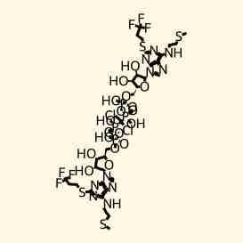 CSCCNc1nc(SCCC(F)(F)F)nc2c1ncn2C1O[C@H](COP(=O)(O)OP(=O)(O)C(Cl)(Cl)P(=O)(O)OP(=O)(O)OC[C@H]2OC(n3cnc4c(NCCSC)nc(SCCC(F)(F)F)nc43)[C@H](O)[C@@H]2O)[C@@H](O)[C@H]1O